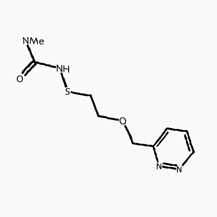 CNC(=O)NSCCOCc1cccnn1